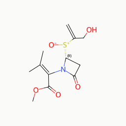 C=C(CO)[S+]([O-])[C@@H]1CC(=O)N1C(C(=O)OC)=C(C)C